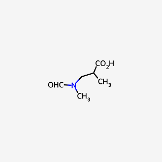 CC(CN(C)C=O)C(=O)O